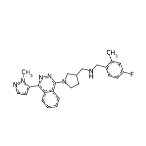 Cc1cc(F)ccc1CNCC1CCN(c2nnc(-c3ccnn3C)c3ccccc23)C1